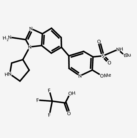 COc1ncc(-c2ccc3nc(N)n(C4CCNC4)c3c2)cc1S(=O)(=O)NC(C)(C)C.O=C(O)C(F)(F)F